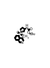 Cc1cncc2cccc(S(=O)(=O)N3CCC(NC(=O)OC(C)(C)C)C3)c12